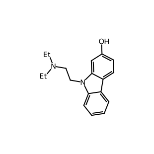 CCN(CC)CCn1c2ccccc2c2ccc(O)cc21